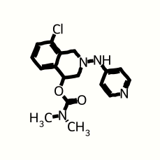 CN(C)C(=O)OC1CN(Nc2ccncc2)Cc2c(Cl)cccc21